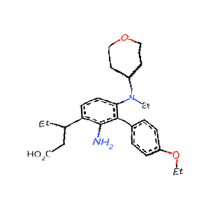 CCOc1ccc(-c2c(N(CC)C3CCOCC3)ccc(C(CC)CC(=O)O)c2N)cc1